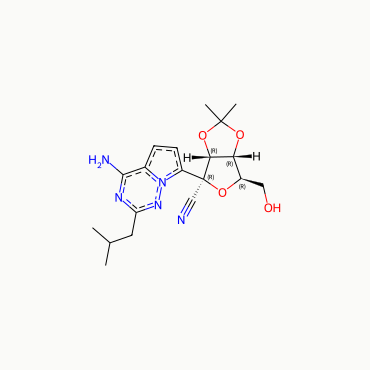 CC(C)Cc1nc(N)c2ccc([C@]3(C#N)O[C@H](CO)[C@H]4OC(C)(C)O[C@H]43)n2n1